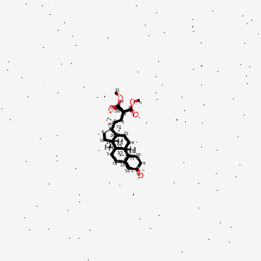 COC(=O)C(C[C@@H](C)[C@H]1CC[C@H]2[C@@H]3CCC4=CC(=O)CC[C@]4(C)[C@H]3CC[C@]12C)C(=O)OC